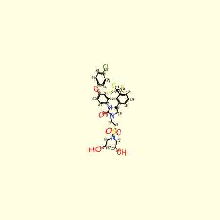 O=C1N(CCS(=O)(=O)N(CCO)CCO)C[C@H](c2cccc(C(F)(F)F)c2)N1c1ccc(Oc2ccc(Cl)cc2)cc1